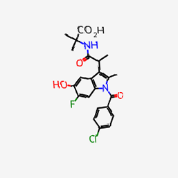 Cc1c(C(C)C(=O)NC(C)(C)C(=O)O)c2cc(O)c(F)cc2n1C(=O)c1ccc(Cl)cc1